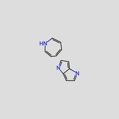 C1=CC=CNC=C1.C1=NC2=CC=NC2=C1